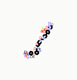 CCN(C)S(=O)(=O)Nc1ccc(F)c(Oc2ccc3ncn(C4COC5(CCN(C(=O)CN6CCC(c7ccc(N8CCC(=O)NC8=O)cc7OS(=O)(=O)F)CC6)CC5)C4)c(=O)c3c2)c1C#N